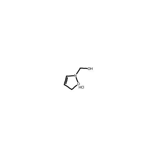 Cl.OCN1C=CCO1